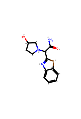 NC(=O)C(c1nc2ccccc2s1)N1CCC(O)C1